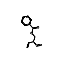 C=C[C@@H](COC(=O)c1ccccc1)OC